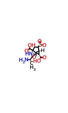 C[C@H](N)C(=O)N[C@@]1(C(=O)O)CC(=S(=O)=O)[C@H]2[C@@H](C(=O)O)[C@@H]21